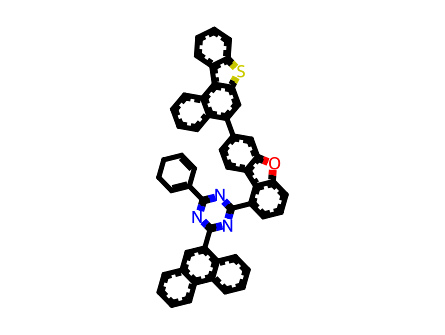 C1=CC(c2nc(-c3cc4ccccc4c4ccccc34)nc(-c3cccc4oc5cc(-c6cc7sc8ccccc8c7c7ccccc67)ccc5c34)n2)=CCC1